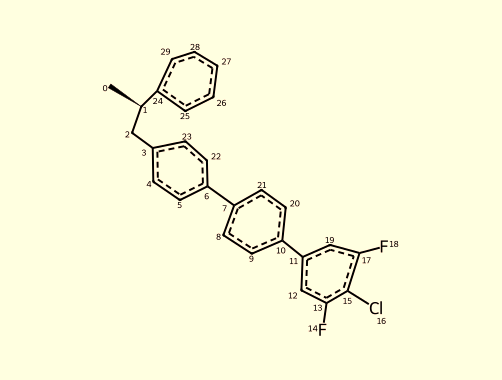 C[C@H](Cc1ccc(-c2ccc(-c3cc(F)c(Cl)c(F)c3)cc2)cc1)c1ccccc1